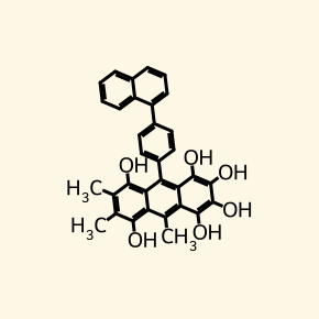 Cc1c(C)c(O)c2c(-c3ccc(-c4cccc5ccccc45)cc3)c3c(O)c(O)c(O)c(O)c3c(C)c2c1O